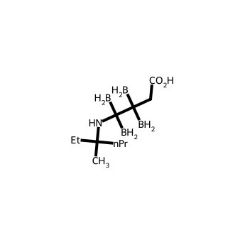 BC(B)(CC(=O)O)C(B)(B)NC(C)(CC)CCC